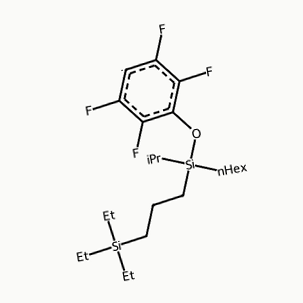 CCCCCC[Si](CCC[Si](CC)(CC)CC)(Oc1c(F)c(F)[c]c(F)c1F)C(C)C